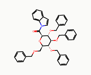 O=C([C@@H]1O[C@H](COCc2ccccc2)[C@@H](OCc2ccccc2)[C@H](OCc2ccccc2)[C@H]1OCc1ccccc1)n1ccc2ccccc21